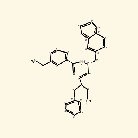 NCc1cccc(C(=O)N[C@@H](C=CC(CO)Cc2ccccc2)Cc2ccc3ccccc3c2)c1